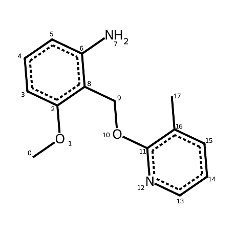 COc1cccc(N)c1COc1ncccc1C